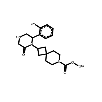 CC(C)c1ccccc1C1CNCC(=O)N1C1CC2(CCN(C(=O)OC(C)(C)C)CC2)C1